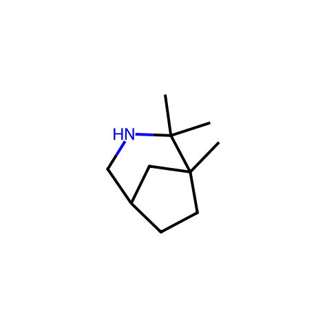 CC12CCC(CNC1(C)C)C2